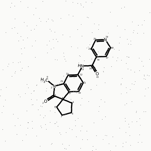 CN1C(=O)C2(CCCC2)c2ccc(NC(=O)c3ccncc3)cc21